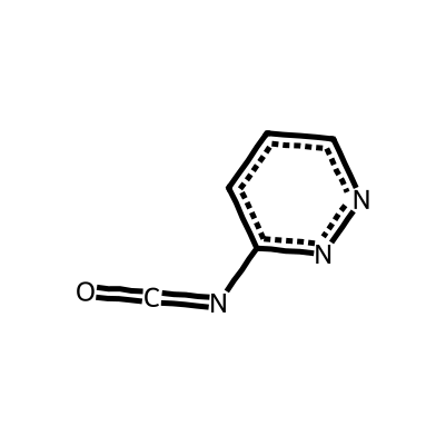 O=C=Nc1cccnn1